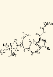 CCCC(C)(C)OC(=O)N(Cc1ccc2c(Br)nn(CCCOC)c2c1)C1CC1